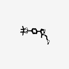 COCCn1ncc(-c2ccc(B3OC(C)(C)C(C)(C)O3)cc2)c1C